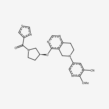 COc1ncc(N2CCc3ncnc(O[C@H]4CCN(C(=O)c5cscn5)C4)c3C2)cc1C#N